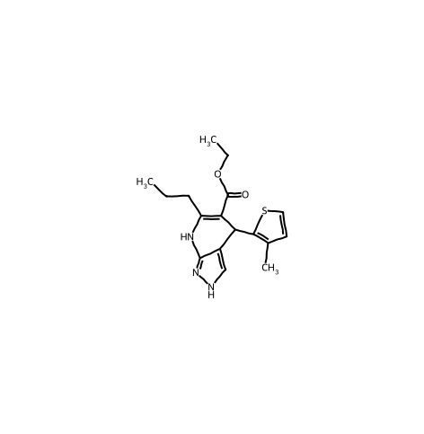 CCCC1=C(C(=O)OCC)C(c2sccc2C)c2c[nH]nc2N1